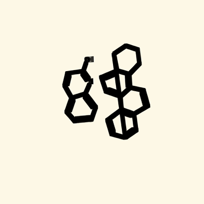 Oc1ccc2ccccc2n1.c1cc2c3ccc4c5c(ccc42)C(CCC5)c1c3